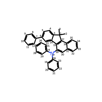 CC1(C)c2ccc(-c3ccccc3)cc2-c2c(N(c3ccccc3)c3ccccc3)cc3ccccc3c21